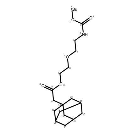 CC(C)(C)OC(=O)NCCOCCOC(=O)CC12CC3CC(CC(C3)C1)C2